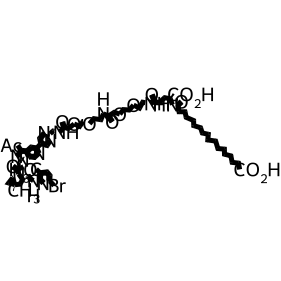 CC(=O)c1nn(CC(=O)N2C3C[C@]3(C)C[C@H]2C(=O)Nc2nc(Br)ccc2C)c2cnc(-c3cnc(CNC(=O)COCCOCCNC(=O)COCCOCCNC(=O)CC[C@H](NC(=O)CCCCCCCCCCCCCCCCC(=O)O)C(=O)O)nc3)cc12